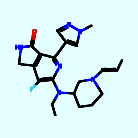 CC=CN1CCCC(N(CC)c2nc(-c3cnn(C)c3)c3c(c2F)CNC3=O)C1